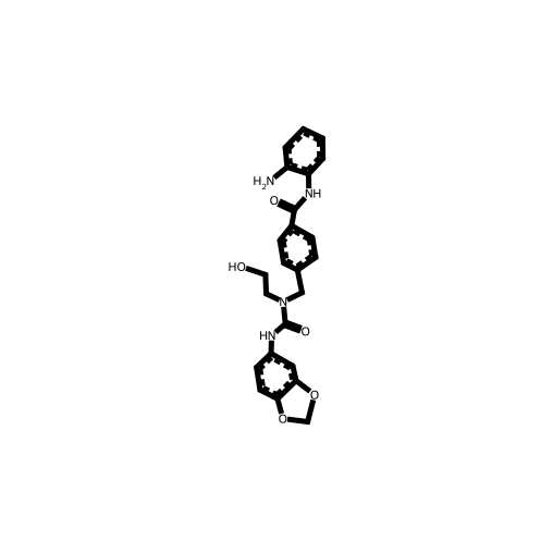 Nc1ccccc1NC(=O)c1ccc(CN(CCO)C(=O)Nc2ccc3c(c2)OCO3)cc1